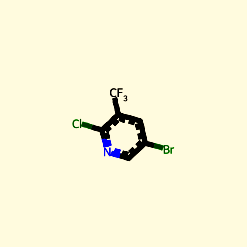 FC(F)(F)c1cc(Br)cnc1Cl